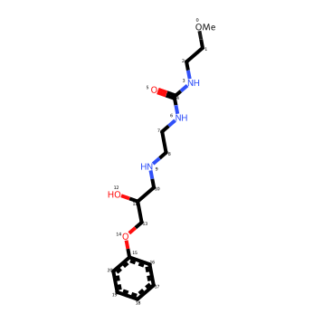 COCCNC(=O)NCCNCC(O)COc1ccccc1